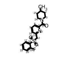 CC1CCN(C(=O)c2cccc(CS(=O)(=O)c3ccccc3F)n2)CC1